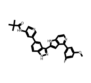 COc1cc(F)cc(-c2nccc3[nH]c(-c4n[nH]c5ccc(-c6cncc(NC(=O)C(C)(C)C)c6)cc45)cc23)c1